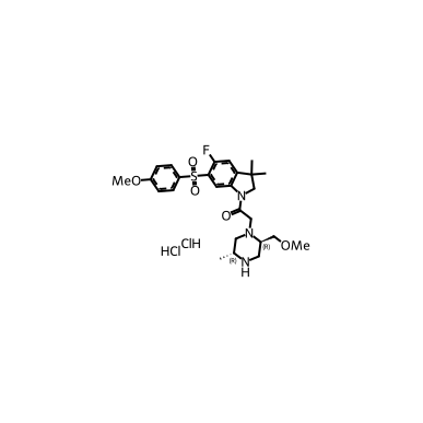 COC[C@H]1CN[C@H](C)CN1CC(=O)N1CC(C)(C)c2cc(F)c(S(=O)(=O)c3ccc(OC)cc3)cc21.Cl.Cl